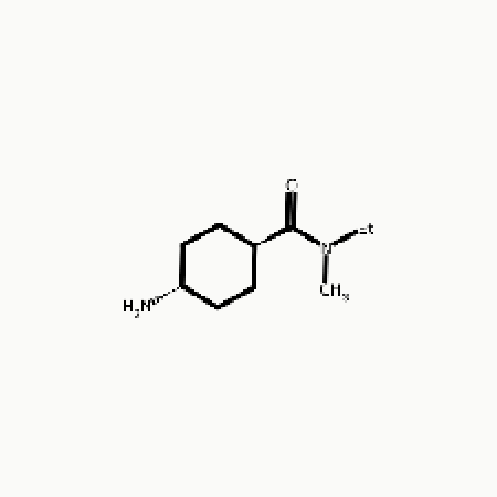 CCN(C)C(=O)[C@H]1CC[C@H](N)CC1